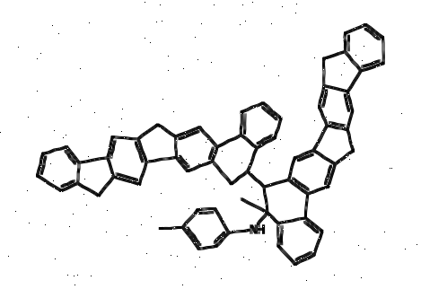 Cc1ccc(NC2(C)c3ccccc3-c3cc4c(cc3C2C2Cc3cc5c(cc3-c3ccccc32)Cc2cc3c(cc2-5)Cc2ccccc2-3)-c2cc3c(cc2C4)-c2ccccc2C3)cc1